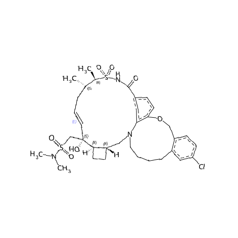 C[C@@H]1[C@@H](C)C/C=C/[C@](O)(CS(=O)(=O)N(C)C)[C@@H]2CC[C@H]2CN2CCCCc3cc(Cl)ccc3COc3ccc(cc32)C(=O)NS1(=O)=O